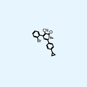 Cn1c(-c2ccc(C3CC3)cc2)cc(-c2ccccc2Br)c(C#N)c1=O